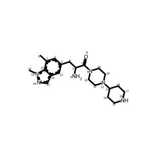 Cc1cc(CC(N)C(=O)N2CCN(C3CCNCC3)CC2)cc2cnn(C)c12